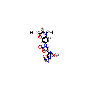 CC1Oc2cc(N3C[C@@H](C(NC=O)c4cnco4)OC3=O)ccc2N(C)C1=O